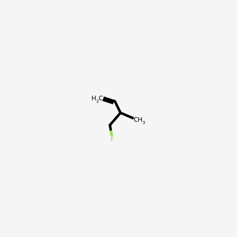 C=CC(C)CF